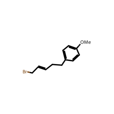 COc1ccc(CCC=CCBr)cc1